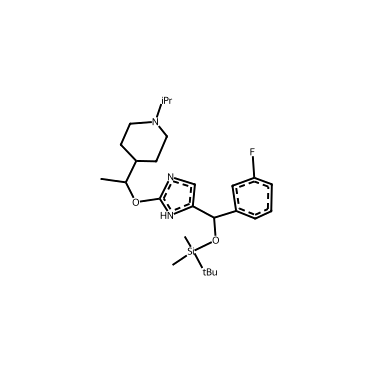 CC(Oc1ncc(C(O[Si](C)(C)C(C)(C)C)c2cccc(F)c2)[nH]1)C1CCN(C(C)C)CC1